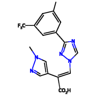 Cc1cc(-c2ncn(C=C(C(=O)O)c3cnn(C)c3)n2)cc(C(F)(F)F)c1